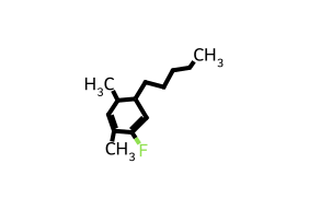 CCCCCC1C=C(F)C(C)=CC1C